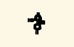 Cl.Cl.Oc1cncnc1N1CCNCC1